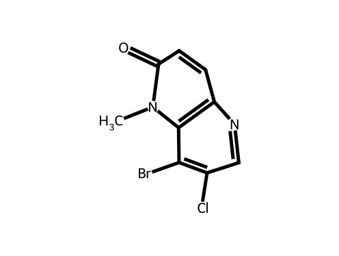 Cn1c(=O)ccc2ncc(Cl)c(Br)c21